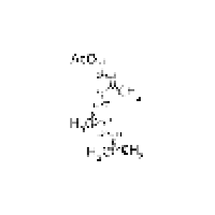 C=C(C=CCOC(C)=O)CCC=C(C)CCC=C(C)C